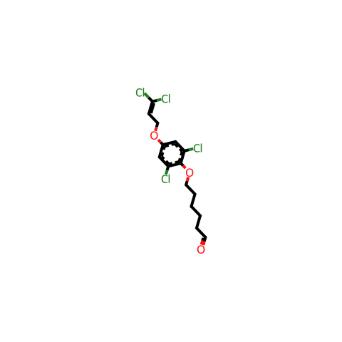 O=CCCCCCOc1c(Cl)cc(OCC=C(Cl)Cl)cc1Cl